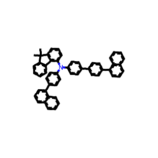 CC1(C)c2ccccc2-c2c(N(c3ccc(-c4ccc(-c5cccc6ccccc56)cc4)cc3)c3ccc(-c4cccc5ccccc45)cc3)cccc21